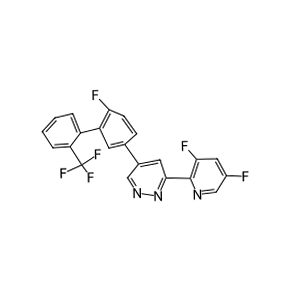 Fc1cnc(-c2cc(-c3ccc(F)c(-c4ccccc4C(F)(F)F)c3)cnn2)c(F)c1